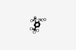 O=C=Nc1ccc(C(Cl)(Cl)Cl)cc1[N+](=O)[O-]